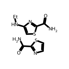 CCNc1csc(C(N)=O)n1.NC(=O)c1nccs1